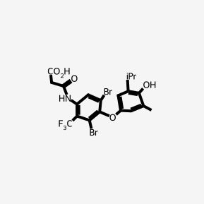 Cc1cc(Oc2c(Br)cc(NC(=O)CC(=O)O)c(C(F)(F)F)c2Br)cc(C(C)C)c1O